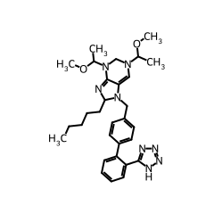 CCCCCC1N=C2C(=CN(C(C)OC)CN2C(C)OC)N1Cc1ccc(-c2ccccc2-c2nnn[nH]2)cc1